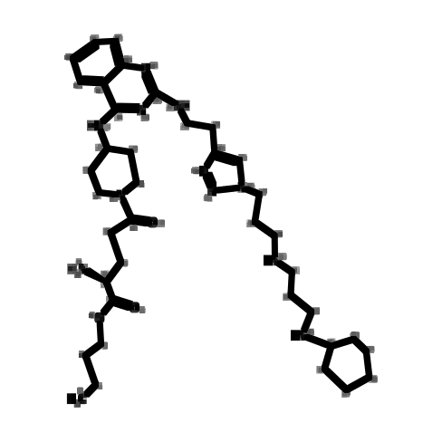 CCCCOC(=O)[C@@H](N)CCC(=O)N1CCC(Nc2nc(NCCc3cn(CCCNCCCNC4CCCCC4)nn3)nc3ccccc23)CC1